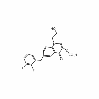 O=C(O)Oc1cn(CCO)c2ccc(Cc3cccc(F)c3F)cc2c1=O